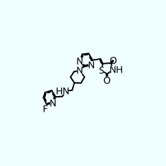 O=C1NC(=O)C(=Cc2ccnc(N3CCC(CNCc4cccc(F)n4)CC3)n2)S1